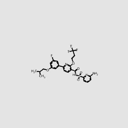 CC(C)COc1cc(F)cc(-c2ccc(C(=O)NS(=O)(=O)c3cccc(N)n3)c(OCCC(F)(F)F)n2)c1